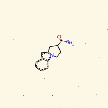 NC(=O)C1CCn2c(cc3ccccc32)C1